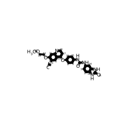 [C-]#[N+]c1cc2c(Oc3ccc(NC(=O)Nc4ccc5[nH]c(=O)[nH]c5c4)cc3)ccnc2cc1OCCOC